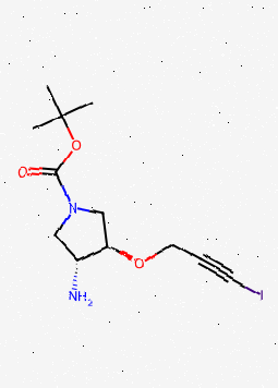 CC(C)(C)OC(=O)N1C[C@@H](N)[C@H](OCC#CI)C1